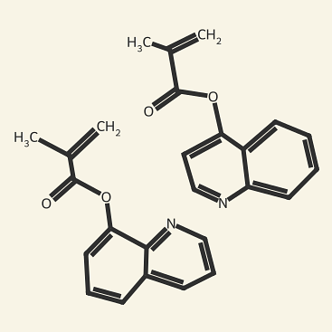 C=C(C)C(=O)Oc1cccc2cccnc12.C=C(C)C(=O)Oc1ccnc2ccccc12